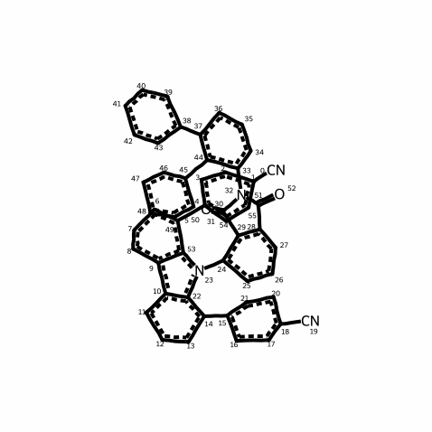 N#Cc1ccc(-c2cccc3c4cccc(-c5ccc(C#N)cc5)c4n(-c4cccc5c4C(=O)N(c4cccc(-c6ccccc6)c4-c4ccccc4)C5=O)c23)cc1